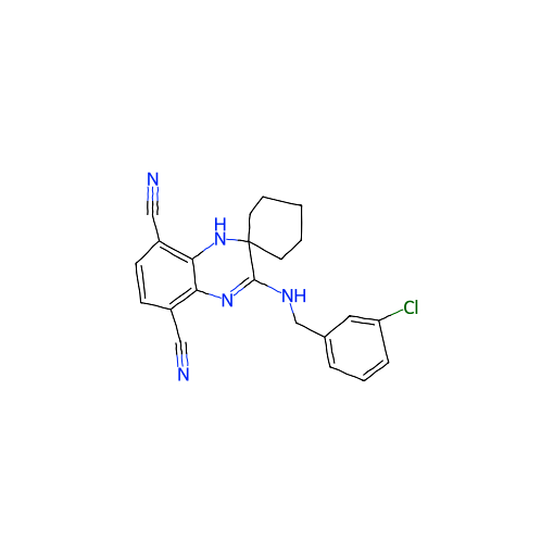 N#Cc1ccc(C#N)c2c1N=C(NCc1cccc(Cl)c1)C1(CCCCC1)N2